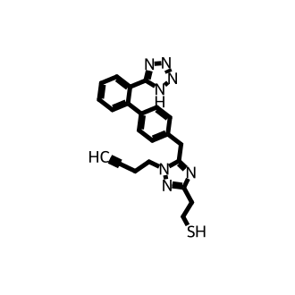 C#CCCn1nc(CCS)nc1Cc1ccc(-c2ccccc2-c2nnn[nH]2)cc1